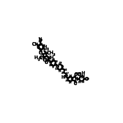 CC1(C)[C@H](NC(=O)c2ccc(N3CCC(CCCNc4ccc5c(c4)C(=O)N(C4CCC(=O)NC4=O)C5=O)CC3)cc2)C(C)(C)[C@H]1Oc1ccc(C#N)c(Cl)c1